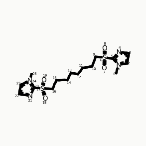 Cn1ccnc1S(=O)(=O)CCCCCCCCS(=O)(=O)c1nccn1C